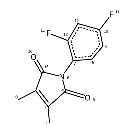 CC1=C(C)C(=O)N(c2ccc(F)cc2F)C1=O